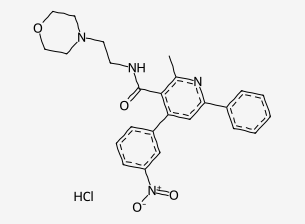 Cc1nc(-c2ccccc2)cc(-c2cccc([N+](=O)[O-])c2)c1C(=O)NCCN1CCOCC1.Cl